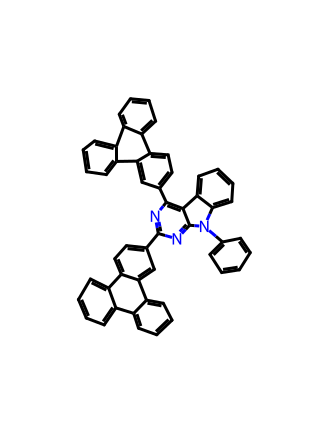 c1ccc(-n2c3ccccc3c3c(-c4ccc5c6ccccc6c6ccccc6c5c4)nc(-c4ccc5c6ccccc6c6ccccc6c5c4)nc32)cc1